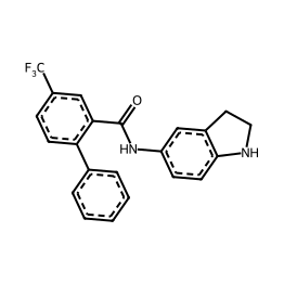 O=C(Nc1ccc2c(c1)CCN2)c1cc(C(F)(F)F)ccc1-c1ccccc1